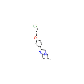 Cc1ccc2nc(-c3ccc(OCCCCl)cc3)cn2c1